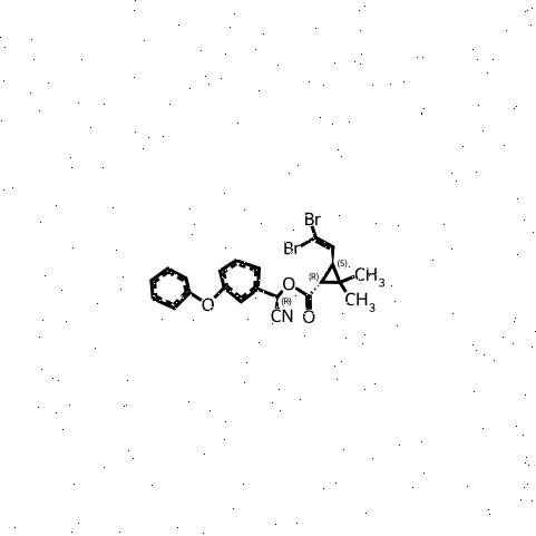 CC1(C)[C@H](C=C(Br)Br)[C@H]1C(=O)O[C@@H](C#N)c1cccc(Oc2ccccc2)c1